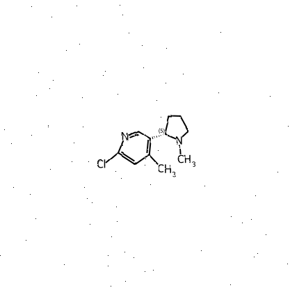 Cc1cc(Cl)ncc1[C@@H]1CCCN1C